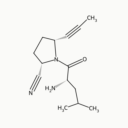 CC#C[C@H]1CC[C@@H](C#N)N1C(=O)[C@@H](N)CC(C)C